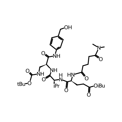 CC(C)COC(=O)CC[C@H](NC(=O)CCCC(=O)N(C)C)C(=O)N[C@H](C(=O)N[C@@H](CNC(=O)OC(C)(C)C)C(=O)Nc1ccc(CO)cc1)C(C)C